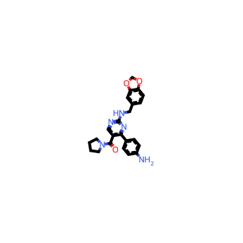 Nc1ccc(-c2nc(NCc3ccc4c(c3)OCO4)ncc2C(=O)N2CCCC2)cc1